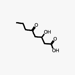 CCCC(=O)CC(O)CC(=O)O